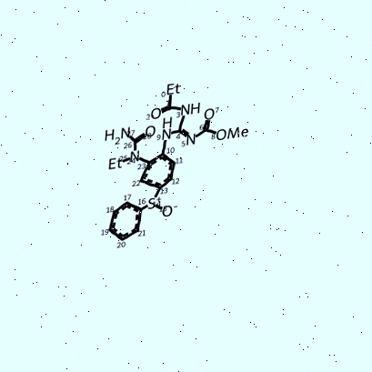 CCC(=O)NC(=NC(=O)OC)Nc1ccc([S+]([O-])c2ccccc2)cc1N(CC)C(N)=O